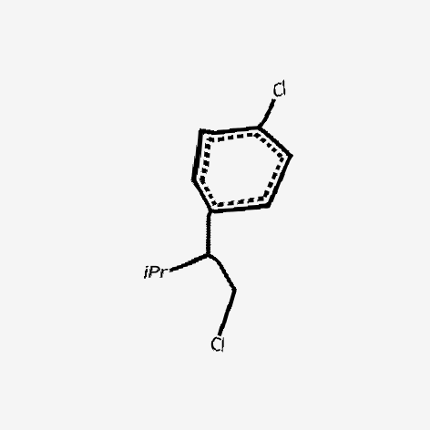 CC(C)C(CCl)c1ccc(Cl)cc1